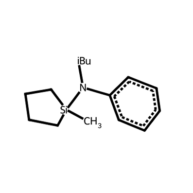 CCC(C)N(c1ccccc1)[Si]1(C)CCCC1